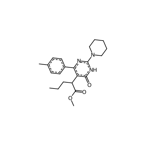 CCCC(C(=O)OC)c1c(-c2ccc(C)cc2)nc(N2CCCCC2)[nH]c1=O